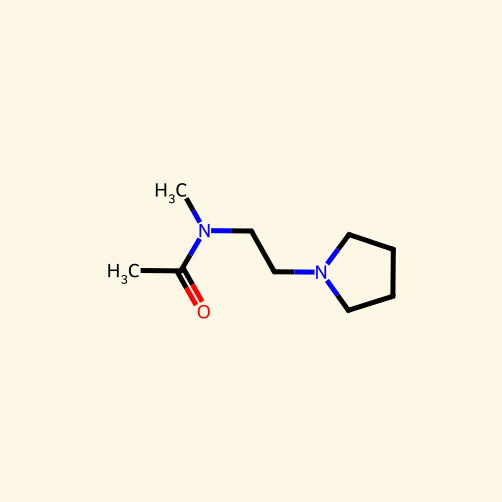 CC(=O)N(C)CCN1CCCC1